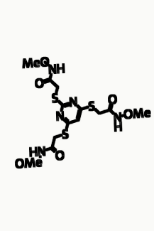 CONC(=O)CSc1cc(SCC(=O)NOC)nc(SCC(=O)NOC)n1